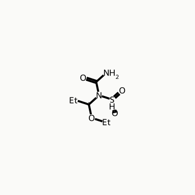 CCO[C](CC)N(C(N)=O)[SH](=O)=O